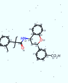 Cc1ccccc1C(C)(C)C(=O)N[C@@H]1C[C@H](c2cccc(C(=O)O)c2)Oc2ccccc21